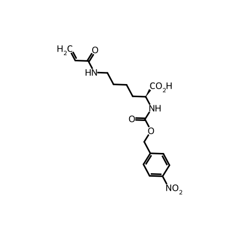 C=CC(=O)NCCCC[C@H](NC(=O)OCc1ccc([N+](=O)[O-])cc1)C(=O)O